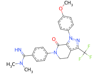 COc1ccc(-n2nc(C(F)(F)F)c3c2C(=O)N(c2ccc(C(=N)N(C)C)cc2)CC3)cc1